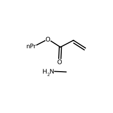 C=CC(=O)OCCC.CN